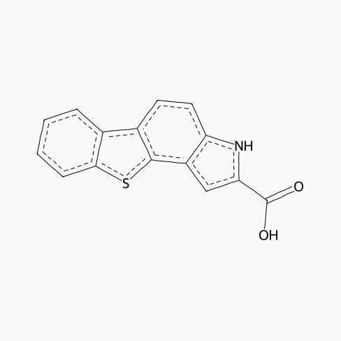 O=C(O)c1cc2c(ccc3c4ccccc4sc23)[nH]1